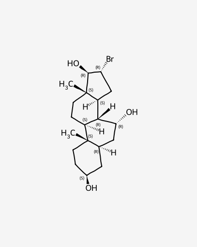 C[C@]12CC[C@H](O)C[C@@H]1C[C@@H](O)[C@@H]1[C@@H]2CC[C@]2(C)[C@@H](O)[C@H](Br)C[C@@H]12